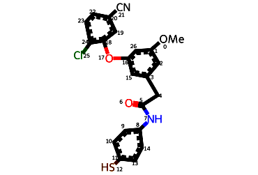 COc1cc(CC(=O)Nc2ccc(S)cc2)cc(Oc2cc(C#N)ccc2Cl)c1